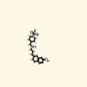 COc1ccc2c(c1)CC(CCCNCC1CCN(S(C)(=O)=O)CC1)CC2